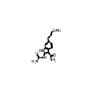 COCCCc1ccc2c(C(N)=O)c(NC(N)=O)[nH]c2c1